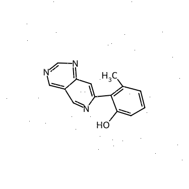 Cc1cccc(O)c1-c1cc2ncncc2cn1